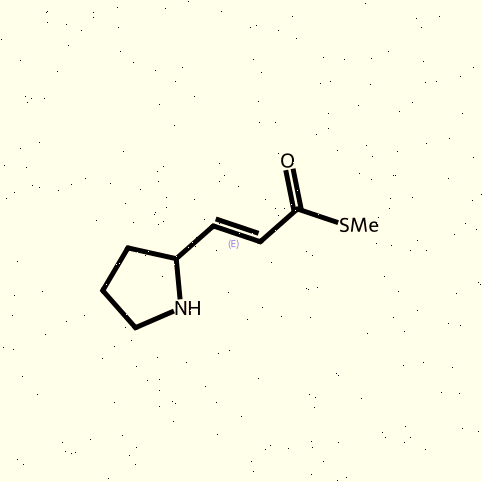 CSC(=O)/C=C/C1CCCN1